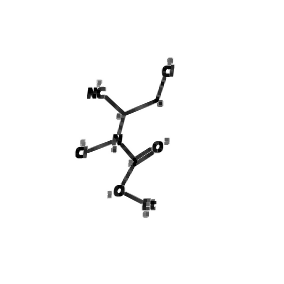 CCOC(=O)N(Cl)C(C#N)CCl